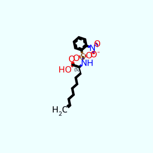 C=CCCCCCC[C@H](NS(=O)(=O)c1ccccc1[N+](=O)[O-])C(=O)O